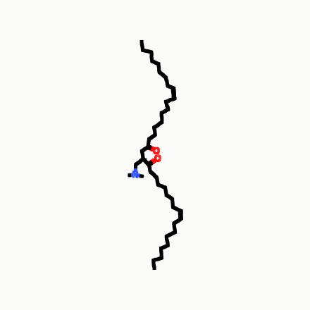 CCCCCCCC/C=C\CCCCCCCC(=O)C[C](CN(C)C)C(=O)CCCCCCC/C=C\CCCCCCCC